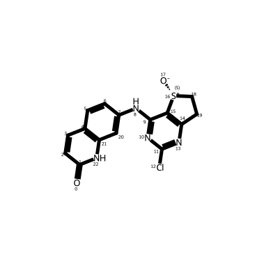 O=c1ccc2ccc(Nc3nc(Cl)nc4c3[S@+]([O-])CC4)cc2[nH]1